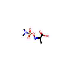 C/C(=N/OS(=O)(=O)N(C)C)C(=O)O